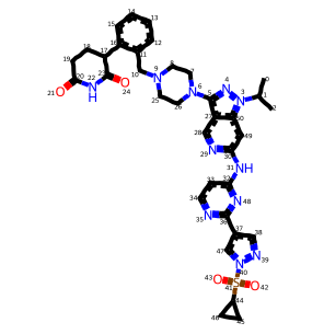 CC(C)n1nc(N2CCN(Cc3ccccc3C3CCC(=O)NC3=O)CC2)c2cnc(Nc3ccnc(-c4cnn(S(=O)(=O)C5CC5)c4)n3)cc21